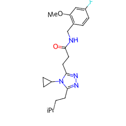 COc1cc(F)ccc1CNC(=O)CCc1nnc(CCC(C)C)n1C1CC1